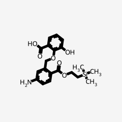 C[Si](C)(C)CCOC(=O)c1ccc(N)cc1COc1c(O)cccc1C(=O)O